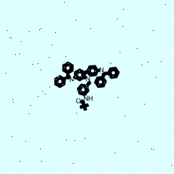 CC(C)(C)C(=O)Nc1cccc(Cn2c3cc(N=C(c4ccccc4)c4ccccc4)ccc3c3ccc(N=C(c4ccccc4)c4ccccc4)cc32)c1